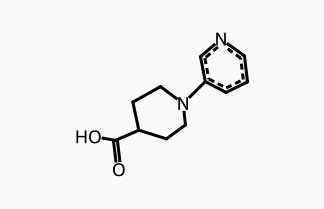 O=C(O)C1CCN(c2cccnc2)CC1